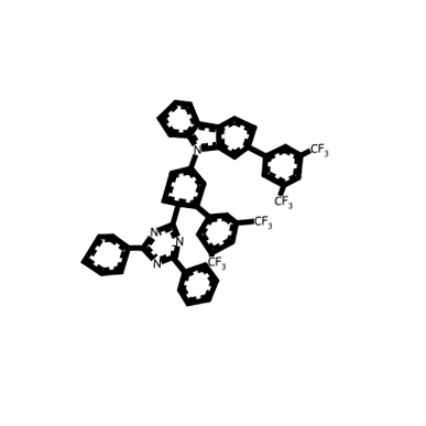 FC(F)(F)c1cc(-c2ccc3c4ccccc4n(-c4ccc(-c5nc(-c6ccccc6)nc(-c6ccccc6)n5)c(-c5cc(C(F)(F)F)cc(C(F)(F)F)c5)c4)c3c2)cc(C(F)(F)F)c1